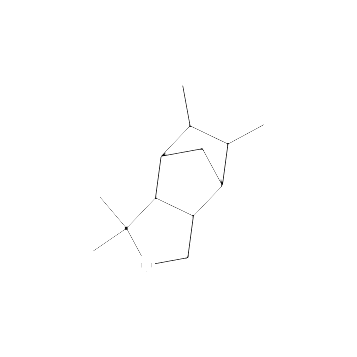 CC1C(C)C2CC1C1COC(C)(C)C21